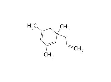 C=CCC1(C)C=C(C)C=C(C)C1